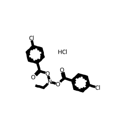 CCN(OC(=O)c1ccc(Cl)cc1)OC(=O)c1ccc(Cl)cc1.Cl